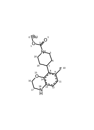 CC(C)(C)OC(=O)N1CCC(c2c(F)ccc3c2OCCN3)CC1